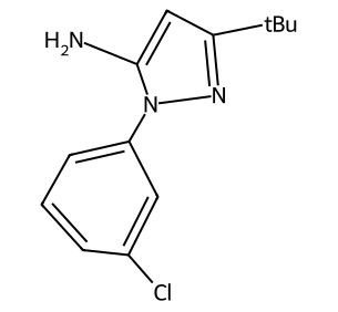 CC(C)(C)c1cc(N)n(-c2cccc(Cl)c2)n1